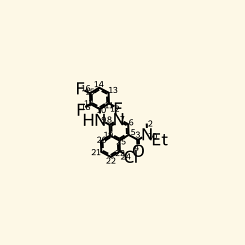 CCN(C)C(=O)c1cnc(Nc2c(F)ccc(F)c2F)c2cccc(Cl)c12